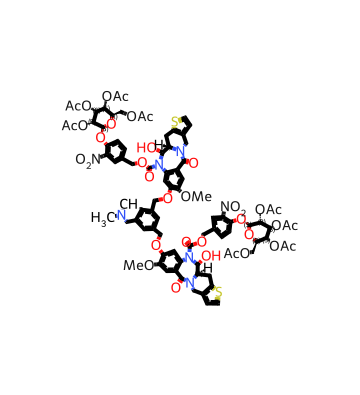 COc1cc2c(cc1OCc1cc(COc3cc4c(cc3OC)C(=O)N3Cc5ccsc5C[C@H]3C(O)N4C(=O)OCc3ccc(O[C@@H]4O[C@H](COC(C)=O)[C@H](OC(C)=O)[C@H](OC(C)=O)[C@H]4OC(C)=O)c([N+](=O)[O-])c3)cc(CN(C)C)c1)N(C(=O)OCc1ccc(O[C@@H]3O[C@H](COC(C)=O)[C@H](OC(C)=O)[C@H](OC(C)=O)[C@H]3OC(C)=O)c([N+](=O)[O-])c1)C(O)[C@H]1Cc3sccc3CN1C2=O